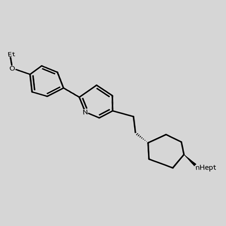 CCCCCCC[C@H]1CC[C@H](CCc2ccc(-c3ccc(OCC)cc3)nc2)CC1